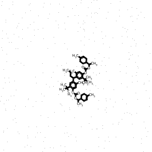 CCCC(c1cc(C(C)(C)C)c(OC(=O)OC(C)C2CC=C(C)CC2)cc1C)c1cc(C(C)(C)C)c(OC(=O)OC(C)C2CC=C(C)CC2)cc1C